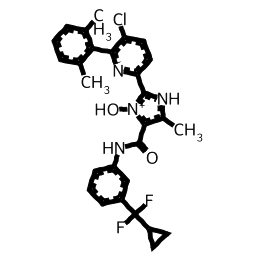 Cc1cccc(C)c1-c1nc(-c2[nH]c(C)c(C(=O)Nc3cccc(C(F)(F)C4CC4)c3)[n+]2O)ccc1Cl